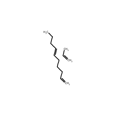 C=CC.C=CCCCC=CCCC